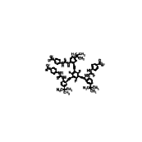 CC(C)(C)c1ccc(NC(=S)Nc2ccc([N+](=O)[O-])cc2)c(C#Cc2c(F)c(C#Cc3cc(C(C)(C)C)ccc3NC(=S)Nc3ccc([N+](=O)[O-])cc3)c(F)c(C#Cc3cc(C(C)(C)C)ccc3NC(=S)Nc3ccc([N+](=O)[O-])cc3)c2F)c1